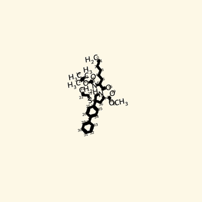 C=CCCCCC(NC(=O)OC(C)(C)C)C(=O)N1C[C@](SCC=C)(c2ccc(-c3ccccc3)cc2)C[C@H]1C(=O)OC